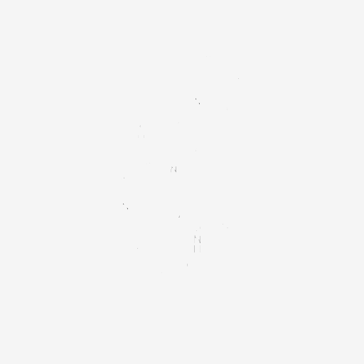 CCC1=C2C(=C(c3ccccc3Cl)N=CC(=O)N2CCN(CC)CC)NO1